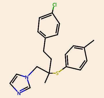 Cc1ccc(SC(C)(CCc2ccc(Cl)cc2)Cn2ccnc2)cc1